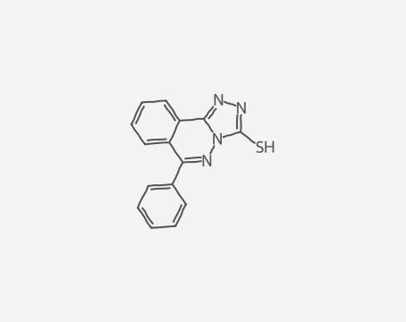 Sc1nnc2c3ccccc3c(-c3ccccc3)nn12